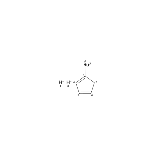 [H-].[H-].[Ru+2][C]1=CC=CC1